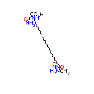 C[C@H](N)C(=O)NCC(=O)CCCCCCCCCCCCCCCCCCCCCCCCCCN[C@@H](CCC(N)=O)C(=O)O